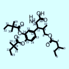 CCC(C)CC(=O)OCC(C)C(c1ccc(OC(=O)C(C)(C)CC)c(OC(=O)C(C)(C)CC)c1)[C@H](N)C(=O)O